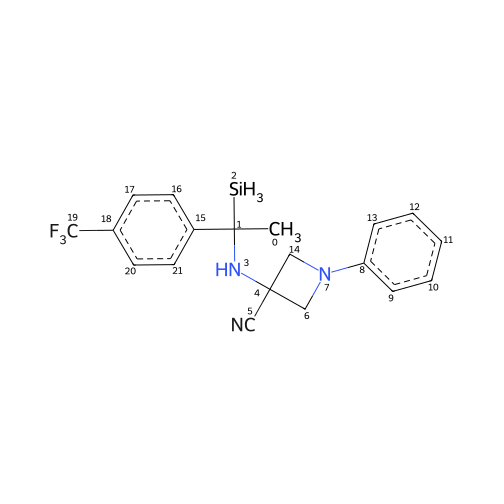 CC([SiH3])(NC1(C#N)CN(c2ccccc2)C1)c1ccc(C(F)(F)F)cc1